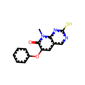 Cn1c(=O)c(Oc2ccccc2)cc2cnc(S)nc21